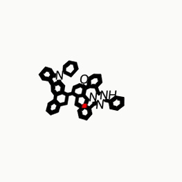 C1=CCC(n2c3ccccc3c3cc4c(cc32)C(C2C=c3oc5cccc(C6=NC(c7ccccc7)=NC(c7ccccc7)N6)c5c3=C3C=CC=CC32)Cc2ccccc2-4)C=C1